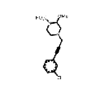 COC1CN(CC#Cc2cccc(Cl)c2)CCN1C(=O)O